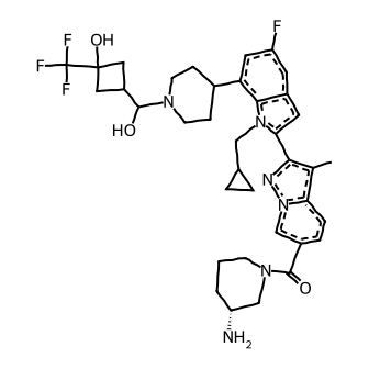 Cc1c(-c2cc3cc(F)cc(C4CCN(C(O)C5CC(O)(C(F)(F)F)C5)CC4)c3n2CC2CC2)nn2cc(C(=O)N3CCC[C@@H](N)C3)ccc12